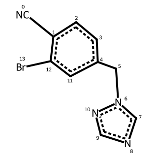 N#Cc1ccc(Cn2cncn2)cc1Br